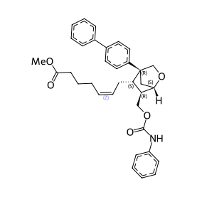 COC(=O)CCC/C=C\C[C@H]1[C@H](COC(=O)Nc2ccccc2)[C@@H]2C[C@@]1(c1ccc(-c3ccccc3)cc1)CO2